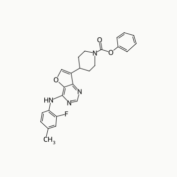 Cc1ccc(Nc2ncnc3c(C4CCN(C(=O)Oc5ccccc5)CC4)coc23)c(F)c1